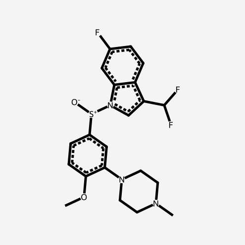 COc1ccc([S+]([O-])n2cc(C(F)F)c3ccc(F)cc32)cc1N1CCN(C)CC1